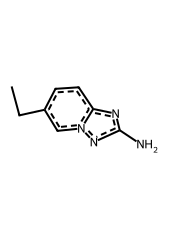 CCc1ccc2nc(N)nn2c1